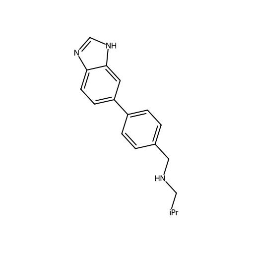 CC(C)CNCc1ccc(-c2ccc3nc[nH]c3c2)cc1